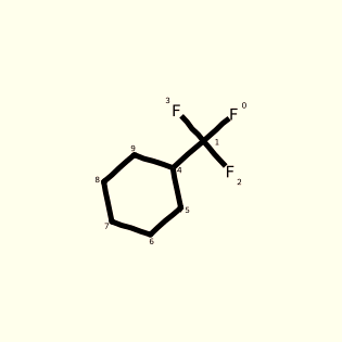 FC(F)(F)C1[CH]CCCC1